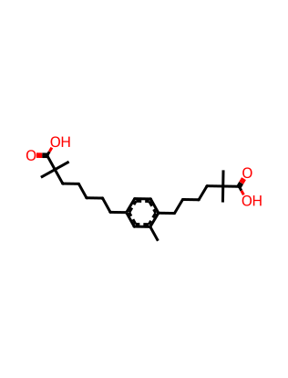 Cc1cc(CCCCCC(C)(C)C(=O)O)ccc1CCCCC(C)(C)C(=O)O